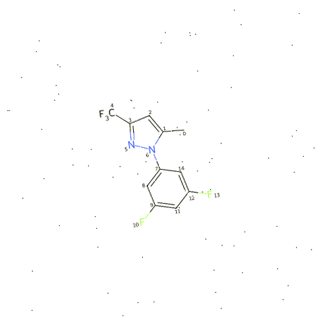 Cc1cc(C(F)(F)F)nn1-c1cc(F)[c]c(F)c1